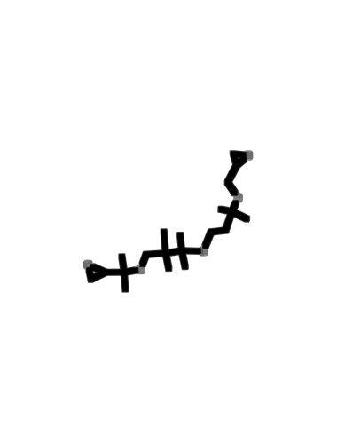 CC(C)(CCOC(C)(C)C(C)(C)COC(C)(C)C1CO1)OCC1CO1